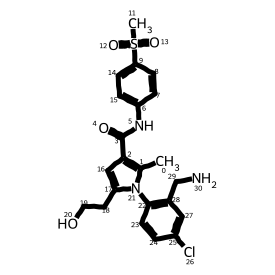 Cc1c(C(=O)Nc2ccc(S(C)(=O)=O)cc2)cc(CCO)n1-c1ccc(Cl)cc1CN